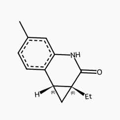 CC[C@@]12C[C@@H]1c1ccc(C)cc1NC2=O